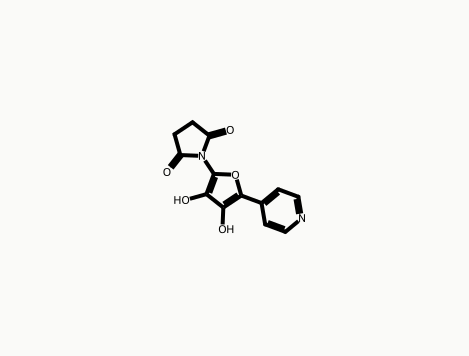 O=C1CCC(=O)N1c1oc(-c2ccncc2)c(O)c1O